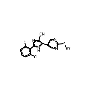 CC(C)Sc1ncc(-c2[nH]c(-c3c(F)cccc3Cl)nc2C#N)cn1